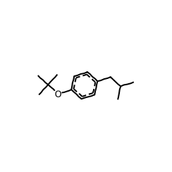 CC(C)Cc1ccc(OC(C)(C)C)cc1